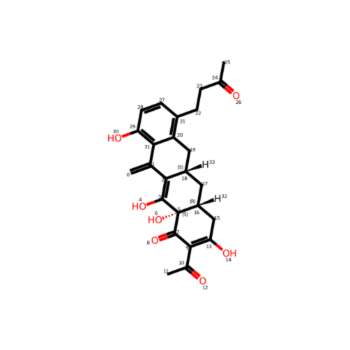 C=C1C2=C(O)[C@]3(O)C(=O)C(C(C)=O)=C(O)C[C@H]3C[C@H]2Cc2c(CCC(C)=O)ccc(O)c21